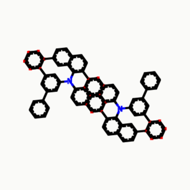 c1ccc(-c2cc(-c3ccccc3)cc(N(c3c(-c4ccccc4)ccc4ccc(-c5ccccc5)cc34)c3ccc4ccc5c(N(c6cc(-c7ccccc7)cc(-c7ccccc7)c6)c6c(-c7ccccc7)ccc7ccc(-c8ccccc8)cc67)ccc6ccc3c4c65)c2)cc1